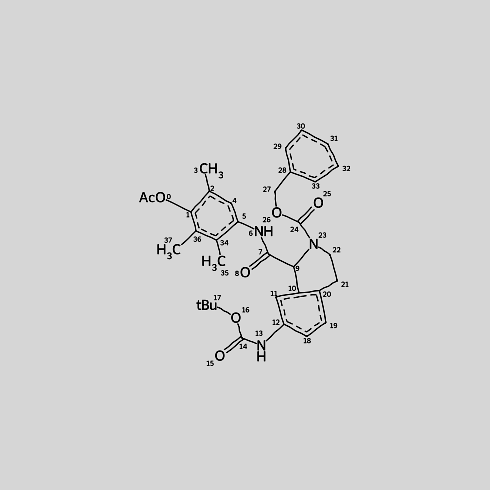 CC(=O)Oc1c(C)cc(NC(=O)C2c3cc(NC(=O)OC(C)(C)C)ccc3CCN2C(=O)OCc2ccccc2)c(C)c1C